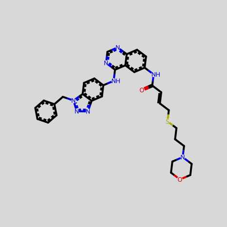 O=C(/C=C/CSCCCN1CCOCC1)Nc1ccc2ncnc(Nc3ccc4c(c3)nnn4Cc3ccccc3)c2c1